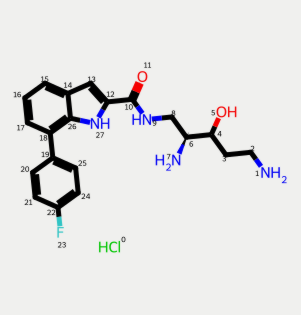 Cl.NCCC(O)[C@@H](N)CNC(=O)c1cc2cccc(-c3ccc(F)cc3)c2[nH]1